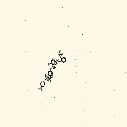 CN(C)[C@H]1CC[C@H](CN[C@@H]2[C@@H]3CC4C[C@H]2C[C@@](CNc2nc(NCc5ccccc5OC(F)(F)F)ncc2F)(C4)C3)CC1